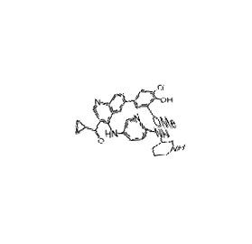 COc1cc(-c2ccc3ncc(C(=O)C4CC4)c(Nc4ccc(NC5CCCNC5)nc4)c3c2)cc(Cl)c1O